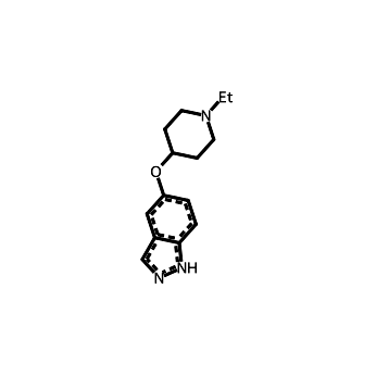 CCN1CCC(Oc2ccc3[nH]ncc3c2)CC1